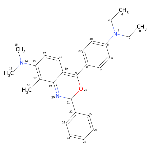 CCN(CC)c1ccc(C2=c3ccc(N(C)C)c(C)c3=NC(c3ccccc3)O2)cc1